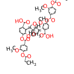 C=CC(=O)Oc1ccc(C(=O)Oc2ccc(C(=O)O)c([C@H]3CO[C@@H]4[C@H]3OC[C@H]4c3c(C(=O)O)ccc(OC(=O)c4ccc(OC(=O)C=C)c(OC)c4)c3OC)c2OC)cc1OC